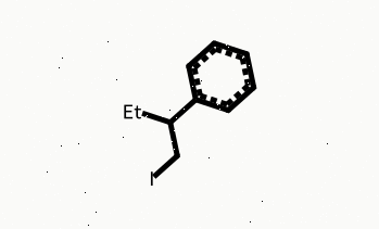 CCC(CI)c1ccccc1